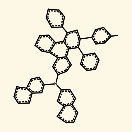 Cc1ccc(-c2cc(-c3ccccc3)c3c4ccccc4c4cc(N(c5ccc6ccccc6c5)c5ccc6ccccc6c5)ccc4c3c2-c2ccccc2)cc1